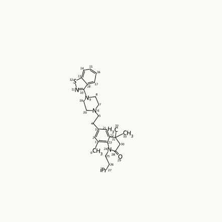 Cc1cc(CCN2CCN(c3nsc4ccccc34)CC2)cc2c1N(CCC(C)C)C(=O)CC2(C)C